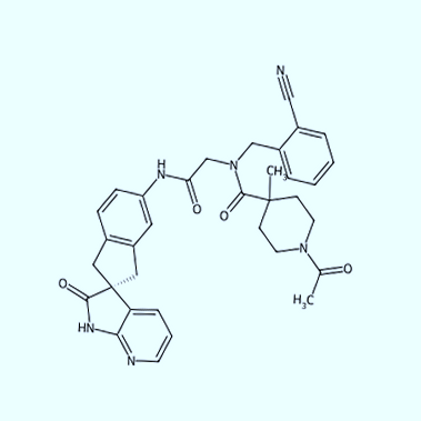 CC(=O)N1CCC(C)(C(=O)N(CC(=O)Nc2ccc3c(c2)C[C@@]2(C3)C(=O)Nc3ncccc32)Cc2ccccc2C#N)CC1